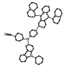 N#Cc1ccc(N(c2ccc(-c3ccc4c(-c5cccc6ccccc56)c5ccccc5c(-c5cccc6ccccc56)c4c3)cc2)c2ccc3c(c2)c2ccccc2n3-c2ccccc2)cc1